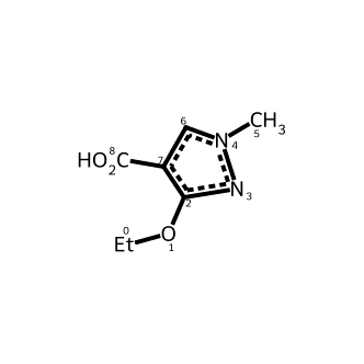 CCOc1nn(C)cc1C(=O)O